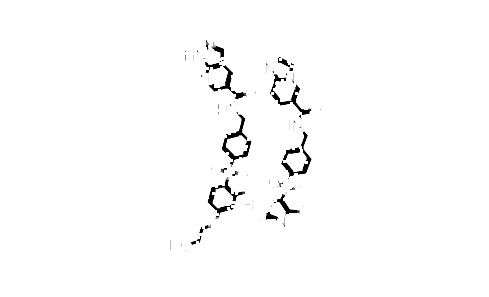 CCCOc1ccc(S(=O)(=O)c2ccc(CNC(=O)c3cnc4[nH]ncc4c3)cc2)c(C)c1.Cc1nc(C)c(S(=O)(=O)c2ccc(CNC(=O)c3ccc4nccn4c3)cc2)s1